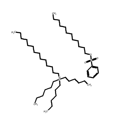 CCCCCCCCCCCCCC[PH](CCCCCC)(CCCCCC)CCCCCC.CCCCCCCCCCCCOS(=O)(=O)c1ccccc1